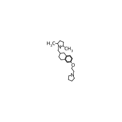 CC1CCC(C)N1CC1CCc2cc(OCCN3CCCC3)ccc2C1